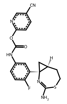 N#Cc1ccc(OC(=O)Nc2ccc(F)c([C@]34C[C@H]3CCSC(N)=N4)c2)nc1